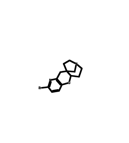 Brc1ccc2c(n1)CC13CCN(CCC1O2)C3